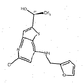 C[C@H](O)c1cc2nc(Cl)cc(NCc3ccco3)c2s1